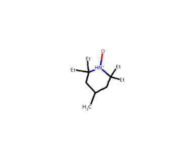 CCC1(CC)CC(C)CC(CC)(CC)[NH+]1[O-]